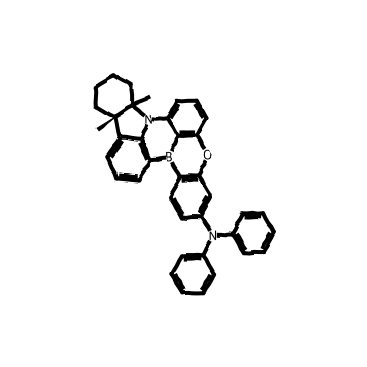 CC12CCCC[C@@]1(C)c1cccc3c1N2c1cccc2c1B3c1ccc(N(c3ccccc3)c3ccccc3)cc1O2